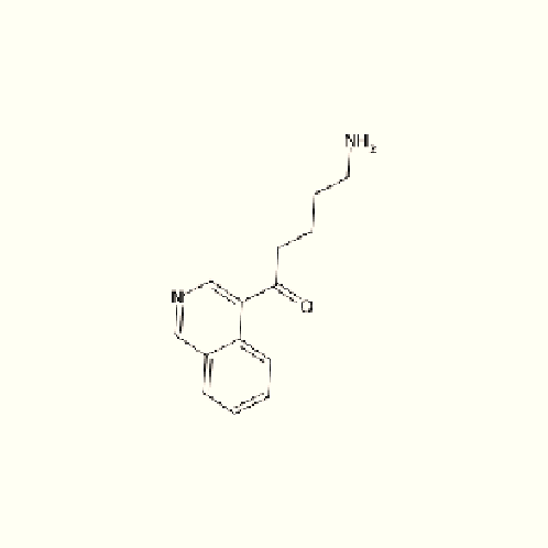 NCCCCC(=O)c1cncc2ccccc12